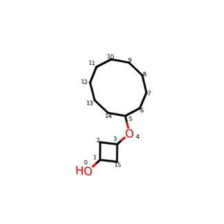 OC1CC(OC2CCCCCCCCC2)C1